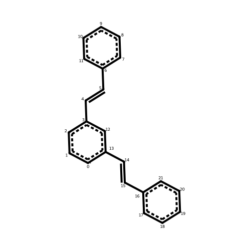 [c]1ccc(C=Cc2ccccc2)cc1C=Cc1ccccc1